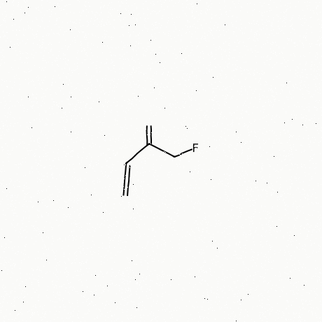 C=CC(=C)CF